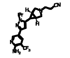 CC(C)n1nc(-c2cnc(N)c(C(F)(F)F)c2)cc1C1[C@H]2CN(CCC#N)C[C@@H]12